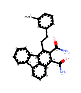 COc1cccc(CCc2c(C(N)=O)c(C(N)=O)c3cccc4c3c2-c2ccccc2-4)c1